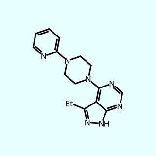 CCc1n[nH]c2ncnc(N3CCN(c4ccccn4)CC3)c12